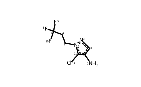 Nc1cnn(CCC(F)(F)F)c1Cl